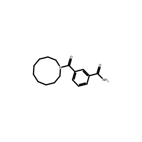 NC(=O)c1cccc(C(=O)N2CCCCCCCCC2)c1